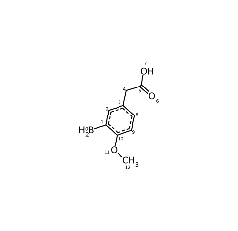 Bc1cc(CC(=O)O)ccc1OC